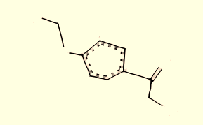 [CH2]COc1ccc(C(=O)CC)cc1